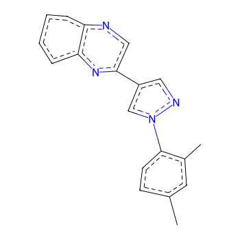 Cc1ccc(-n2cc(-c3cnc4ccccc4n3)cn2)c(C)c1